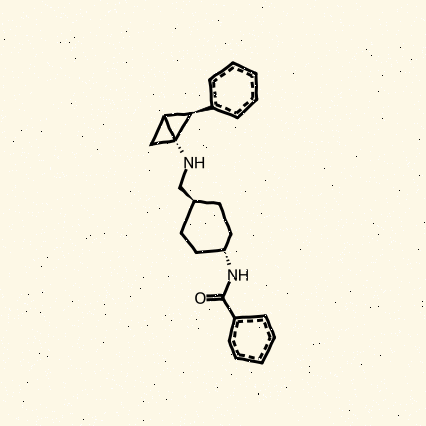 O=C(N[C@H]1CC[C@H](CN[C@]23CC2[C@H]3c2ccccc2)CC1)c1ccccc1